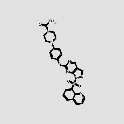 CC(=O)N1CCN(c2ccc(Nc3ncc4cnn(S(=O)(=O)c5cccc6cccnc56)c4n3)cc2)CC1